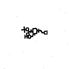 CC(C)(C)OC(=O)N1CCN(CCCl)C[C@H]1CO